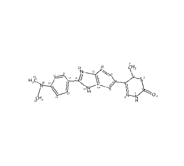 CC1SC(=O)NN=C1c1ccc2nc(-c3ccc(N(C)C)cc3)[nH]c2c1